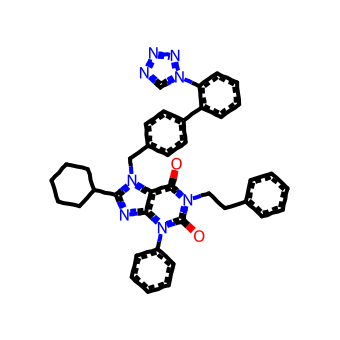 O=c1c2c(nc(C3CCCCC3)n2Cc2ccc(-c3ccccc3-n3cnnn3)cc2)n(-c2ccccc2)c(=O)n1CCc1ccccc1